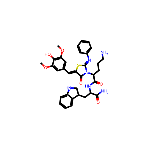 COc1cc(C=C2SC(=Nc3ccccc3)N(C(CCCN)C(=O)NC(CC3CNc4ccccc43)C(N)=O)C2=O)cc(OC)c1O